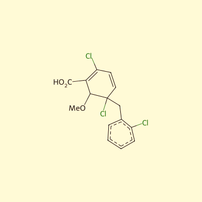 COC1C(C(=O)O)=C(Cl)C=CC1(Cl)Cc1ccccc1Cl